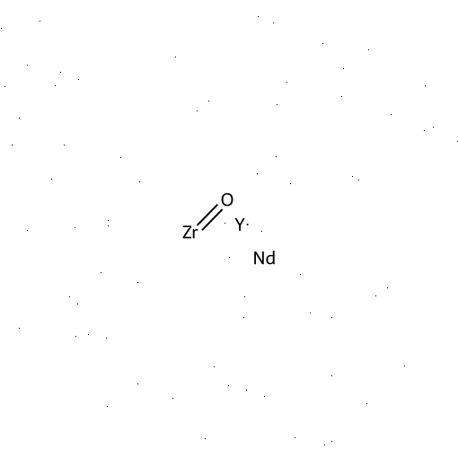 [Nd].[O]=[Zr].[Y]